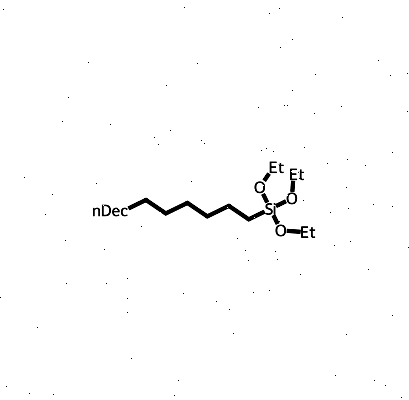 CCCCCCCCCCCCCCCC[Si](OCC)(OCC)OCC